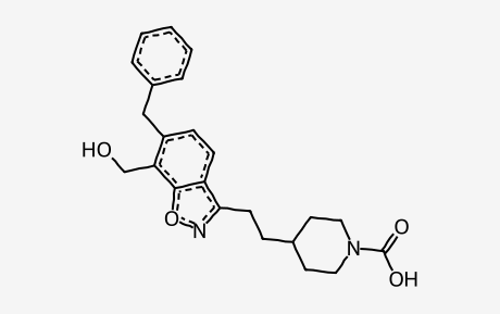 O=C(O)N1CCC(CCc2noc3c(CO)c(Cc4ccccc4)ccc23)CC1